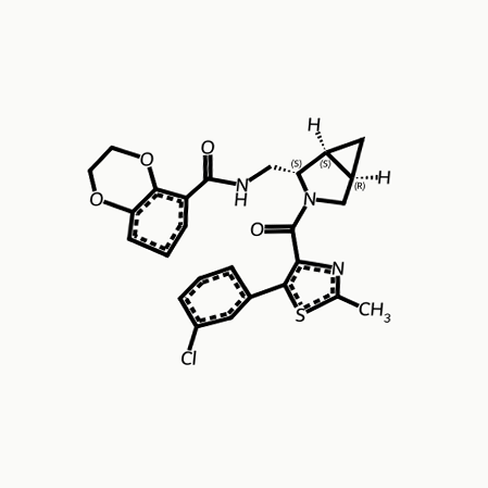 Cc1nc(C(=O)N2C[C@@H]3C[C@@H]3[C@H]2CNC(=O)c2cccc3c2OCCO3)c(-c2cccc(Cl)c2)s1